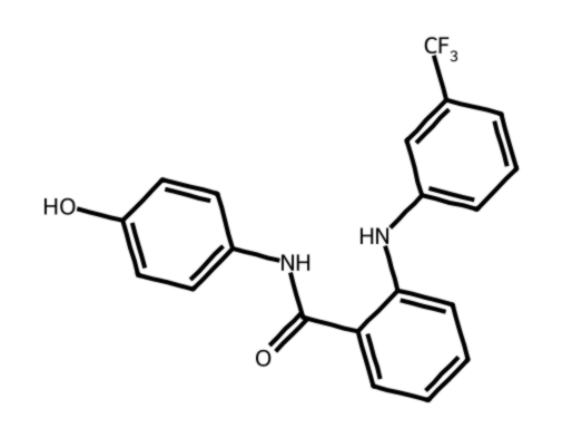 O=C(Nc1ccc(O)cc1)c1ccccc1Nc1cccc(C(F)(F)F)c1